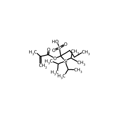 C=C(C)C(=O)OC(CCC)([Si](C(C)C)(C(C)C)C(C)C)S(=O)(=O)O